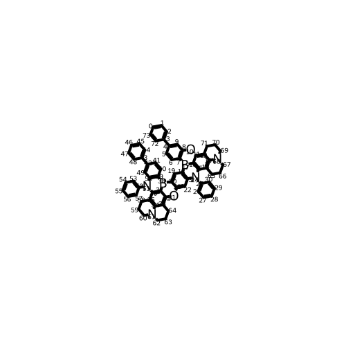 c1ccc(-c2ccc3c(c2)Oc2c4c5c(c6c2B3c2cc3c(cc2N6c2ccccc2)Oc2c6c7c(c8c2B3c2ccc(-c3ccccc3)cc2N8c2ccccc2)CCCN7CCC6)CCCN5CCC4)cc1